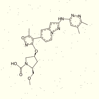 COC[C@@H]1C[C@H](Oc2noc(C)c2-c2ccn3nc(Nc4cc(C)c(C)nn4)cc3c2)CN1C(=O)O